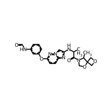 CC(Nc1cn2nc(Oc3cccc(NC=O)c3)ccc2n1)C(=O)N1COC2(COC2)C1C